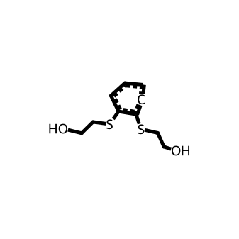 OCCSc1ccccc1SCCO